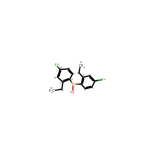 [O-][S+](c1ccc(F)cc1CC(F)(F)F)c1ccc(F)cc1CC(F)(F)F